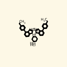 CCc1ccc(-c2cccc3c2C=C(C)[CH]3[Hf]2([CH]3C(C)=Cc4c(-c5ccc(CC)cc5)cccc43)[CH]3CCCC[CH]32)cc1.Cl.Cl